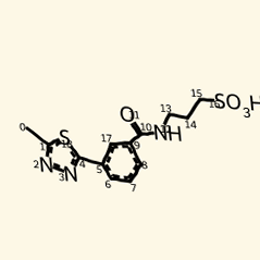 Cc1nnc(-c2cccc(C(=O)NCCCS(=O)(=O)O)c2)s1